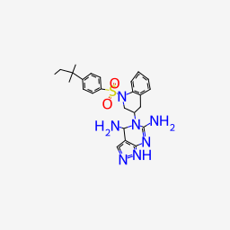 CCC(C)(C)c1ccc(S(=O)(=O)N2CC(N3C(N)=Nc4[nH]ncc4C3N)Cc3ccccc32)cc1